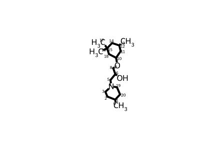 CC1CCN(CC(O)COC2CC(C)CC(C)(C)C2)CC1